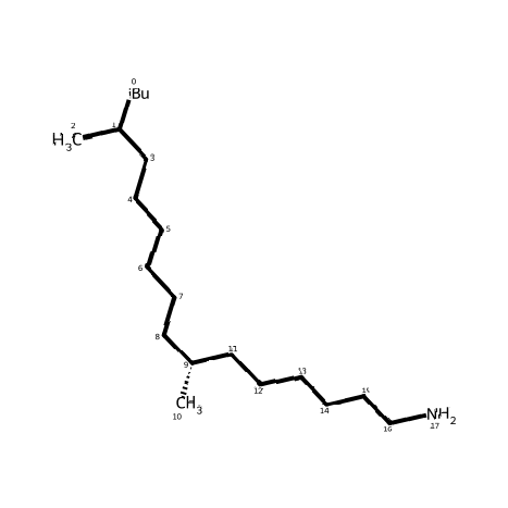 CCC(C)C(C)CCCCCC[C@@H](C)CCCCCCN